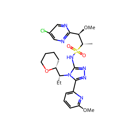 CC[C@H]([C@H]1CCCCO1)n1c(NS(=O)(=O)[C@@H](C)[C@H](OC)c2ncc(Cl)cn2)nnc1-c1cccc(OC)n1